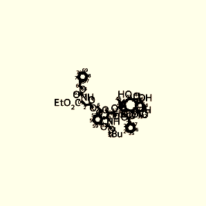 CCOC(=O)C(CC(=O)OCC(=O)OC(C(=O)O[C@H]1C[C@@]2(O)[C@@H](OC(=O)c3ccccc3)[C@@H]3[C@]4(OC(C)=O)CO[C@@H]4C[C@H](O)[C@@]3(C)C(=O)[C@H](O)C(=C1C)C2(C)C)C(NC(=O)OC(C)(C)C)c1ccccc1)NC(=O)OCc1ccccc1